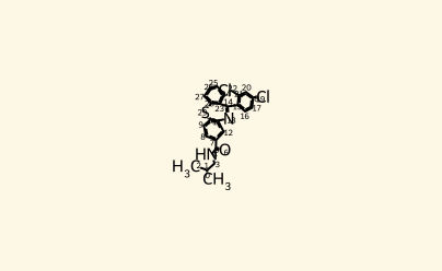 CC(C)CNC(=O)c1ccc2c(c1)N=C(c1ccc(Cl)cc1Cl)c1ccccc1S2